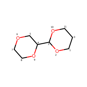 C1COC(C2COCCO2)OC1